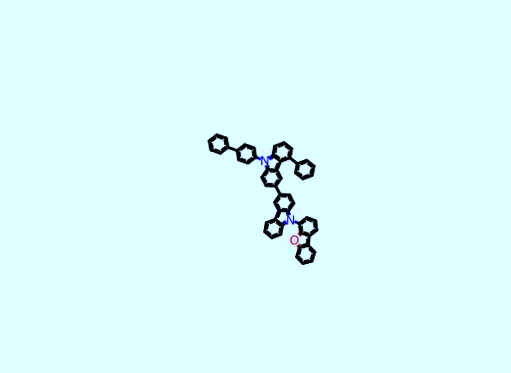 c1ccc(-c2ccc(-n3c4ccc(-c5ccc6c(c5)c5ccccc5n6-c5cccc6c5oc5ccccc56)cc4c4c(-c5ccccc5)cccc43)cc2)cc1